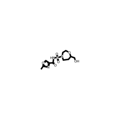 Cc1nc(C(=O)NS(=O)(=O)N2CCOC(CO)CC2)co1